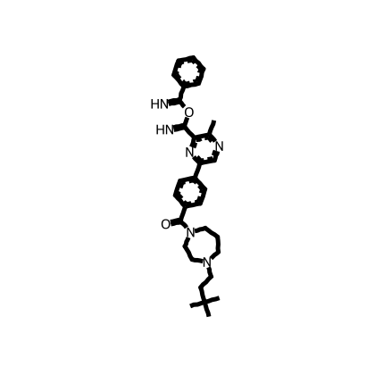 Cc1ncc(-c2ccc(C(=O)N3CCCN(CCC(C)(C)C)CC3)cc2)nc1C(=N)OC(=N)c1ccccc1